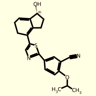 CC(C)Oc1ccc(-c2ncc(C3=C4CC[C@@H](O)C4=CCC3)s2)cc1C#N